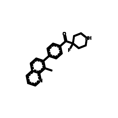 Cc1c(-c2ccc(C(=O)C3(F)CCNCC3)cc2)ccc2cccnc12